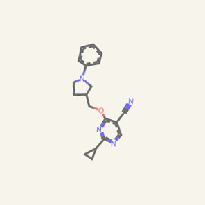 N#Cc1cnc(C2CC2)nc1OCC1CCN(c2ccccc2)C1